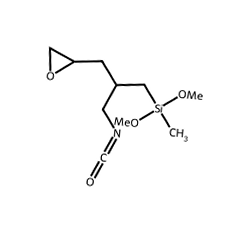 CO[Si](C)(CC(CN=C=O)CC1CO1)OC